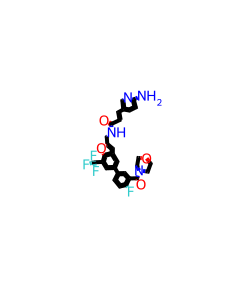 Nc1ccc(/C=C/C(=O)NCc2cc3cc(-c4ccc(F)c(C(=O)N5CCOCC5)c4)cc(C(F)(F)F)c3o2)cn1